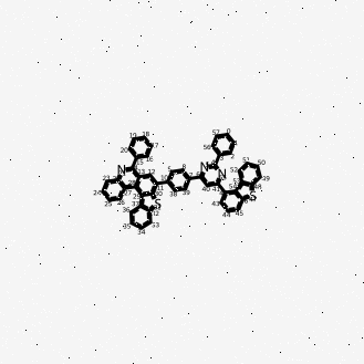 c1ccc(-c2nc(-c3ccc(-c4cc5c(-c6ccccc6)nc6ccccc6c5c5c4sc4ccccc45)cc3)cc(-c3cccc4sc5ccccc5c34)n2)cc1